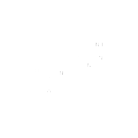 O=C1OCCN1Cc1c[nH]nn1